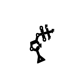 O=S(=O)(Oc1coc(C2CC2)n1)C(F)(F)F